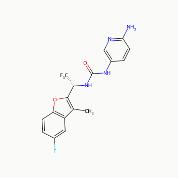 Cc1c([C@@H](NC(=O)Nc2ccc(N)nc2)C(F)(F)F)oc2ccc(F)cc12